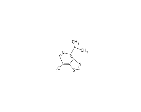 Cc1cnc(C(C)C)c2ncsc12